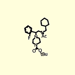 CC(=O)N(CC1CCCCC1)CC(c1ccccc1F)N1CCN(C(=O)OC(C)(C)C)CC1